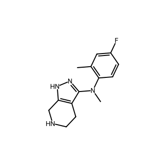 Cc1cc(F)ccc1N(C)c1n[nH]c2c1CCNC2